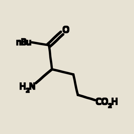 CCCCC(=O)C(N)CCC(=O)O